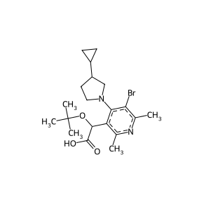 Cc1nc(C)c(C(OC(C)(C)C)C(=O)O)c(N2CCC(C3CC3)C2)c1Br